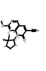 CSc1ncc2cc(C#N)c(=O)n(C3CCCC3(C)C)c2n1